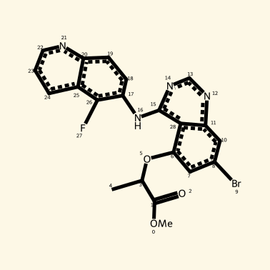 COC(=O)C(C)Oc1cc(Br)cc2ncnc(Nc3ccc4ncccc4c3F)c12